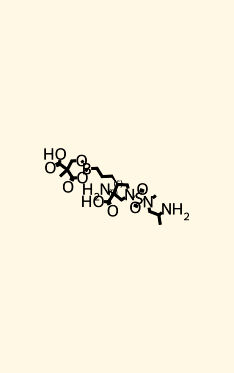 CC(N)CN(C)S(=O)(=O)N1C[C@H](CCCB2OCC(C)(C(=O)O)C(=O)O2)[C@](N)(C(=O)O)C1